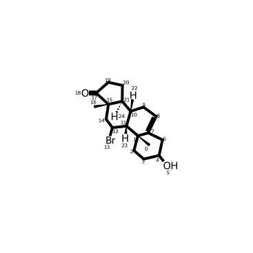 C[C@]12CCC(O)CC1=CC[C@@H]1[C@H]2C(Br)C[C@]2(C)C(=O)CC[C@@H]12